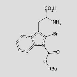 CC(C)(C)OC(=O)n1c(Br)c(C[C@@H](N)C(=O)O)c2ccccc21